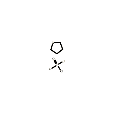 C1CCOC1.O=P(Cl)(Cl)Cl